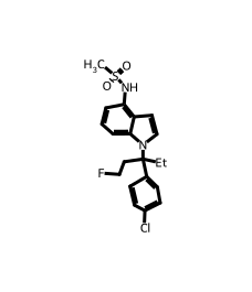 CCC(CCF)(c1ccc(Cl)cc1)n1ccc2c(NS(C)(=O)=O)cccc21